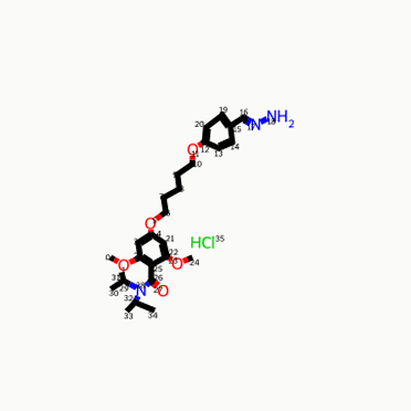 COc1cc(OCCCCCOc2ccc(C=NN)cc2)cc(OC)c1C(=O)N(C(C)C)C(C)C.Cl